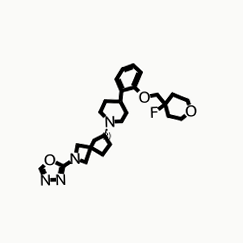 FC1(COc2ccccc2C2CCN([C@@H]3CCC4(C3)CN(c3nnco3)C4)CC2)CCOCC1